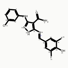 NC(=O)c1c(Nc2cccc(Cl)c2)n[nH]c1/N=C/c1cc(F)c(O)c(F)c1